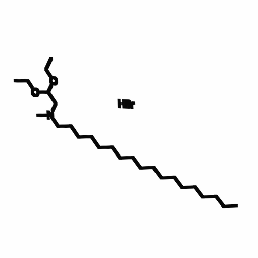 Br.CCCCCCCCCCCCCCCCCCN(C)CC(OCC)OCC